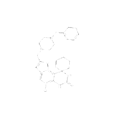 C=C1Nc2c(Cl)cc3cc(CN4CCN(Cc5cccnc5)CC4)oc3c2C2(CCCCC2)N1